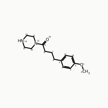 COc1ccc(CCCC(=O)N2CCNCC2)cc1